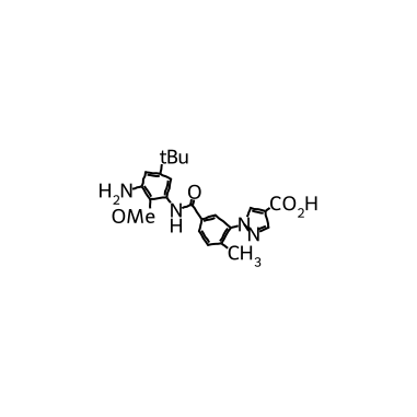 COc1c(N)cc(C(C)(C)C)cc1NC(=O)c1ccc(C)c(-n2cc(C(=O)O)cn2)c1